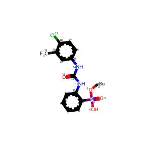 CCC(C)OP(=O)(O)c1ccccc1NC(=O)Nc1ccc(Cl)c(C(F)(F)F)c1